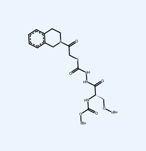 CCCCOC[C@H](NC(=O)OC(C)(C)C)C(=O)NNC(=O)SCC(=O)N1CCc2ccccc2C1